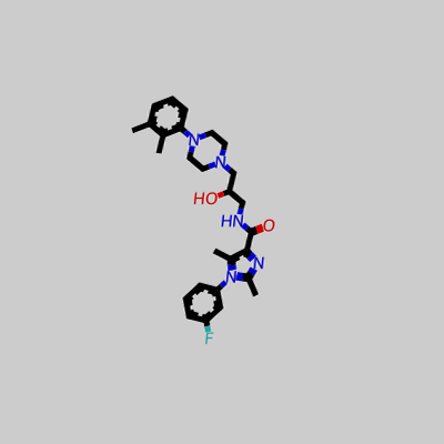 Cc1cccc(N2CCN(CC(O)CNC(=O)c3nc(C)n(-c4cccc(F)c4)c3C)CC2)c1C